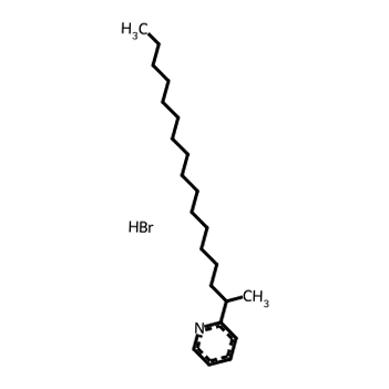 Br.CCCCCCCCCCCCCCCC(C)c1ccccn1